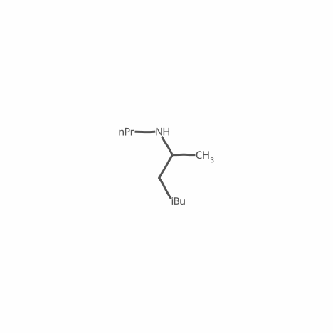 CCCNC(C)CC(C)CC